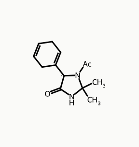 CC(=O)N1[C](C2=CCC=CC2)C(=O)NC1(C)C